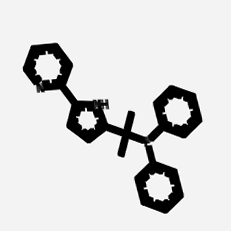 CC(C)(c1ccc(-c2ccccn2)[nH]1)P(c1ccccc1)c1ccccc1